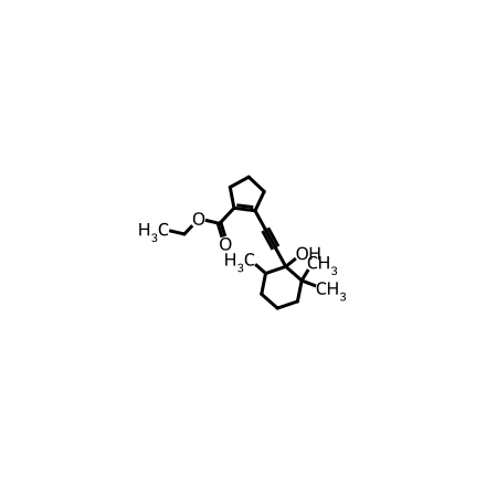 CCOC(=O)C1=C(C#CC2(O)C(C)CCCC2(C)C)CCC1